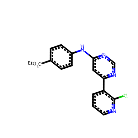 CCOC(=O)c1ccc(Nc2cc(-c3cccnc3Cl)ncn2)cc1